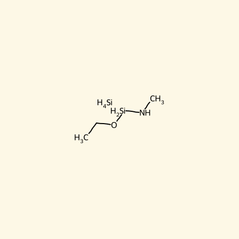 CCO[SiH2]NC.[SiH4]